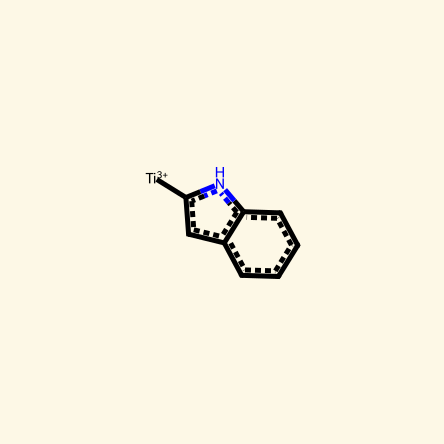 [Ti+3][c]1cc2ccccc2[nH]1